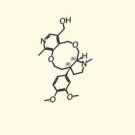 COc1ccc([C@@]23CCOc4c(C)ncc(CO)c4COC[C@@H]2N(C)CC3)cc1OC